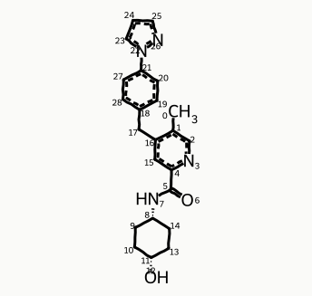 Cc1cnc(C(=O)N[C@H]2CC[C@@H](O)CC2)cc1Cc1ccc(-n2cccn2)cc1